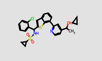 C1CC1.CC(O)c1ccnc(-c2cccc3cc(C(NS(=O)(=O)C4CC4)c4ccccc4Cl)sc23)c1